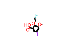 COc1cc(I)cc(C(=O)O)c1OCCF